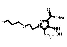 COC(=O)c1nn(CCOCCCF)c(C(=O)O)c1NO